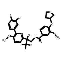 COc1cc(C(=O)NCC(O)(c2ccc(OC)c(-c3ccc(F)c(Cl)c3)n2)C(F)(F)F)ccc1OC1CCOC1